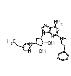 CCc1cnn([C@H]2C[C@@H](n3cnc4c(N)nc(NCCc5ccccc5)nc43)[C@H](O)[C@@H]2O)c1